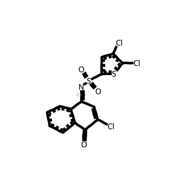 O=C1C(Cl)=C/C(=N\S(=O)(=O)c2cc(Cl)c(Cl)s2)c2ccccc21